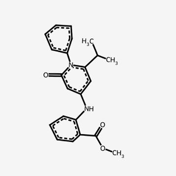 COC(=O)c1ccccc1Nc1cc(C(C)C)n(-c2ccccc2)c(=O)c1